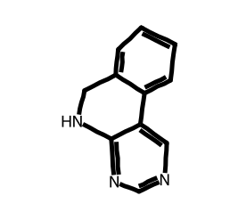 c1ccc2c(c1)CNc1ncncc1-2